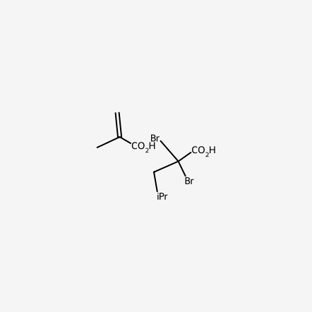 C=C(C)C(=O)O.CC(C)CC(Br)(Br)C(=O)O